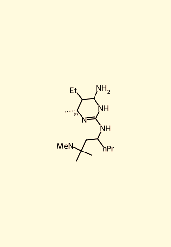 CCCC(CC(C)(C)NC)NC1=N[C@H](C)C(CC)C(N)N1